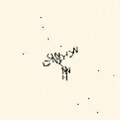 CN(C)c1ccc(-c2cnc3c(c2)c(-c2cn[nH]c2)cn3C(=O)c2ccccc2)cc1